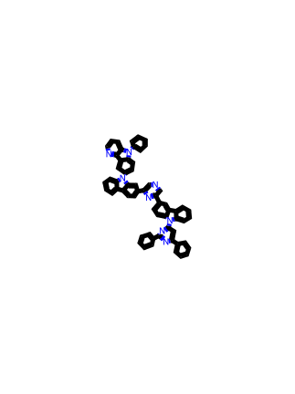 c1ccc(-c2cc(-n3c4ccccc4c4cc(-c5cncc(-c6ccc7c8ccccc8n(-c8ccc9c(c8)c8ncccc8n9-c8ccccc8)c7c6)n5)ccc43)nc(-c3ccccc3)n2)cc1